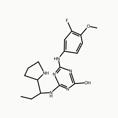 CCC(Nc1nc(O)nc(Nc2ccc(OC)c(F)c2)n1)C1CCCN1